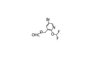 O=COCc1cc(Br)cnc1OC(F)F